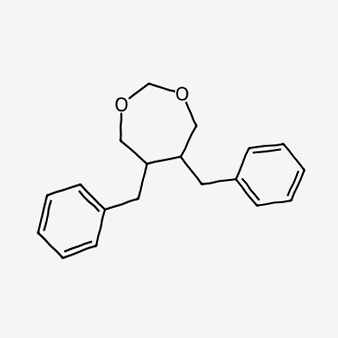 c1ccc(CC2COCOCC2Cc2ccccc2)cc1